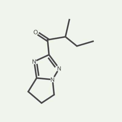 CCC(C)C(=O)c1nc2n(n1)CCC2